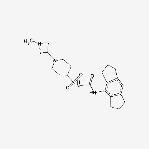 CN1CC(N2CCC(S(=O)(=O)NC(=O)Nc3c4c(cc5c3CCC5)CCC4)CC2)C1